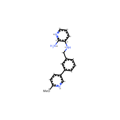 COc1ccc(-c2cccc(CNc3cccnc3N)c2)cn1